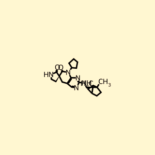 CC12CCC(CC1)C2(C)CNc1ncc2c(n1)N(C1CCCC1)C(=O)[C@]1(CCNC1=O)C2